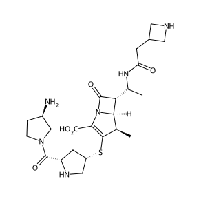 CC(NC(=O)CC1CNC1)[C@H]1C(=O)N2C(C(=O)O)=C(S[C@@H]3CN[C@H](C(=O)N4CC[C@@H](N)C4)C3)[C@H](C)[C@H]12